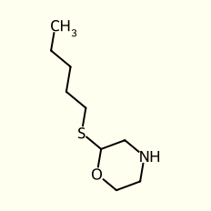 CCCCCSC1CNCCO1